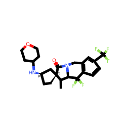 CC1C2N(Cc3cc(C(F)(F)F)ccc3C2(F)F)C(=O)[C@]12CC[C@@H](NC1CCOCC1)C2